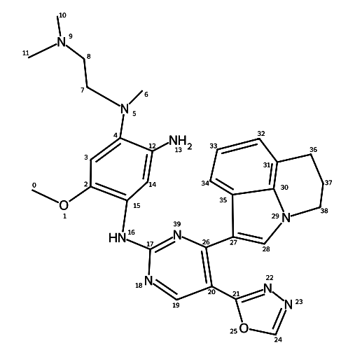 COc1cc(N(C)CCN(C)C)c(N)cc1Nc1ncc(-c2nnco2)c(-c2cn3c4c(cccc24)CCC3)n1